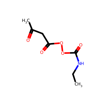 CCNC(=O)OOC(=O)CC(C)=O